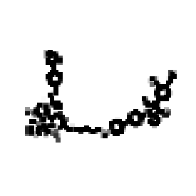 CC(C)(C)C(NC(=O)COCCCCOc1ccc(-c2ccc(N3C(=S)N(c4ccc(C#N)c(Cl)c4)C(=O)C34CCC4)cc2)cc1)C(=O)N1C[C@H](O)C[C@H]1C(=O)NCc1ccc(-c2cnco2)cc1